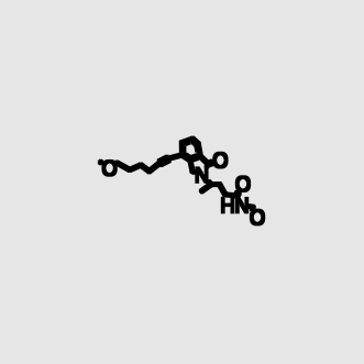 COCCCCC#Cc1cccc2c1CN(C(C)CCC(=O)NC=O)C2=O